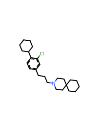 Clc1cc(CCCN2CCC3(CCCCC3)CC2)ccc1C1CCCCC1